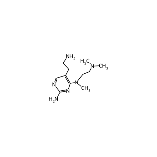 CN(C)CCN(C)c1nc(N)ncc1CCN